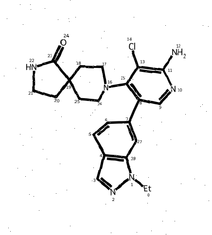 CCn1ncc2ccc(-c3cnc(N)c(Cl)c3N3CCC4(CCNC4=O)CC3)cc21